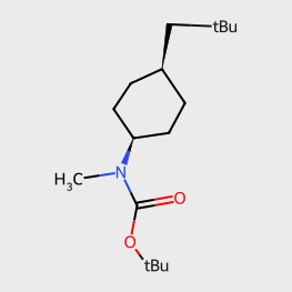 CN(C(=O)OC(C)(C)C)[C@H]1CC[C@@H](CC(C)(C)C)CC1